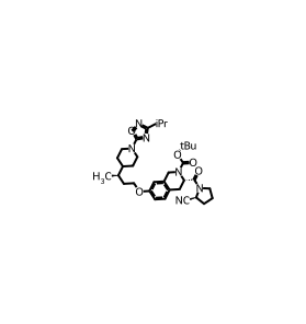 CC(C)c1noc(N2CCC([C@H](C)CCOc3ccc4c(c3)CN(C(=O)OC(C)(C)C)[C@H](C(=O)N3CCC[C@H]3C#N)C4)CC2)n1